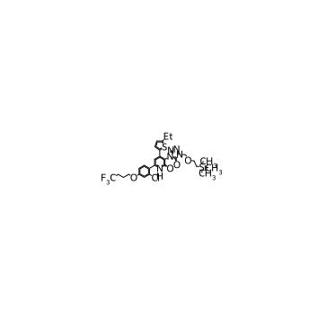 CCc1ccc(-c2cc(-c3ccc(OCCCC(F)(F)F)cc3Cl)[nH]c(=O)c2-n2nnn(COCC[Si](C)(C)C)c2=O)s1